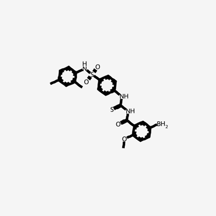 Bc1ccc(OC)c(C(=O)NC(=S)Nc2ccc(S(=O)(=O)Nc3ccc(C)cc3C)cc2)c1